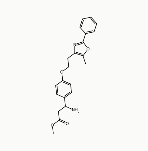 COC(=O)CC(N)c1ccc(OCCc2nc(-c3ccccc3)oc2C)cc1